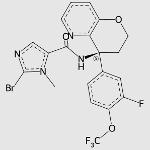 Cn1c(C(=O)N[C@]2(c3ccc(OC(F)(F)F)c(F)c3)CCOc3cccnc32)cnc1Br